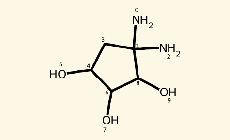 NC1(N)CC(O)C(O)C1O